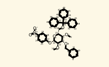 CO[C@@H]1[C@H](OCc2ccccc2)[C@@H](OC)[C@H](Oc2ccc([N+](=O)[O-])cc2)O[C@@H]1COC(c1ccccc1)(c1ccccc1)c1ccccc1